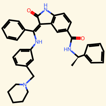 C[C@@H](NC(=O)c1ccc2c(c1)C(=C(Nc1cccc(CN3CCCCC3)c1)c1ccccc1)C(=O)N2)c1ccccc1